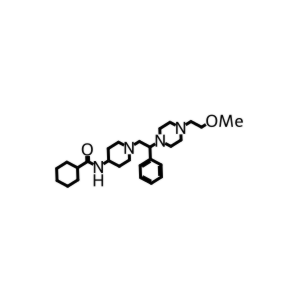 COCCN1CCN(C(CN2CCC(NC(=O)C3CCCCC3)CC2)c2ccccc2)CC1